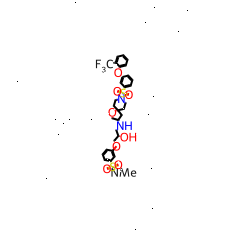 CNS(=O)(=O)c1cccc(OC[C@@H](O)CNC2COC3(CCN(S(=O)(=O)c4cccc(Oc5ccccc5C(F)(F)F)c4)CC3)C2)c1